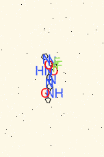 O=C(Nc1ccc(N2CCC(NC(=O)C3CCCC3)CC2)nc1)c1oc(N2CCCCC2)nc1C(F)(F)F